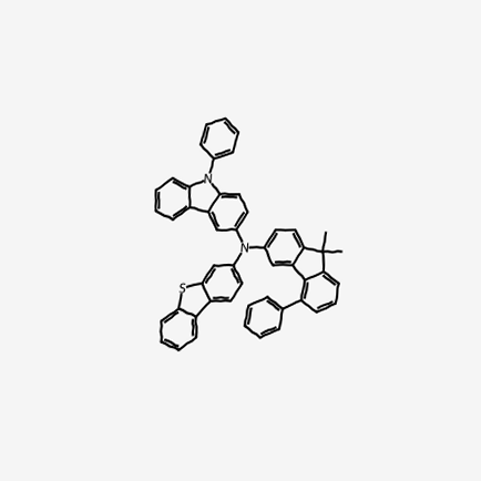 CC1(C)c2ccc(N(c3ccc4c(c3)sc3ccccc34)c3ccc4c(c3)c3ccccc3n4-c3ccccc3)cc2-c2c(-c3ccccc3)cccc21